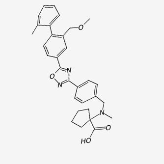 COCc1cc(-c2nc(-c3ccc(CN(C)C4(C(=O)O)CCCC4)cc3)no2)ccc1-c1ccccc1C